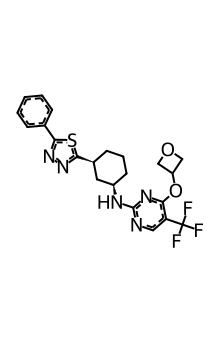 FC(F)(F)c1cnc(N[C@@H]2CCC[C@H](c3nnc(-c4ccccc4)s3)C2)nc1OC1COC1